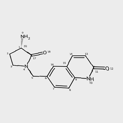 N[C@H]1CCN(Cc2ccc3[nH]c(=O)ccc3c2)C1=O